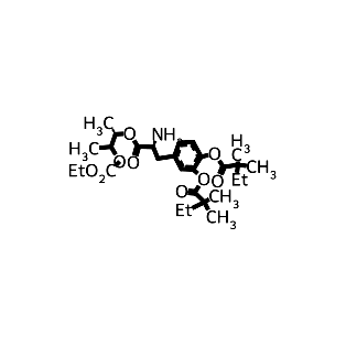 CCOC(=O)OC(C)[C@H](C)OC(=O)[C@@H](N)Cc1ccc(OC(=O)C(C)(C)CC)c(OC(=O)C(C)(C)CC)c1